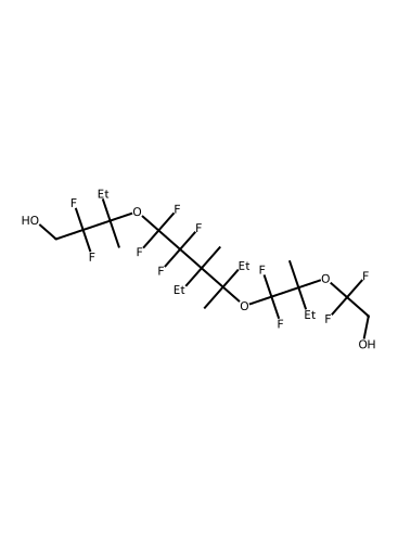 CCC(C)(OC(F)(F)C(F)(F)C(C)(CC)C(C)(CC)OC(F)(F)C(C)(CC)OC(F)(F)CO)C(F)(F)CO